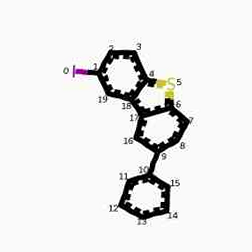 Ic1ccc2sc3ccc(-c4ccccc4)cc3c2c1